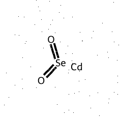 O=[Se]=O.[Cd]